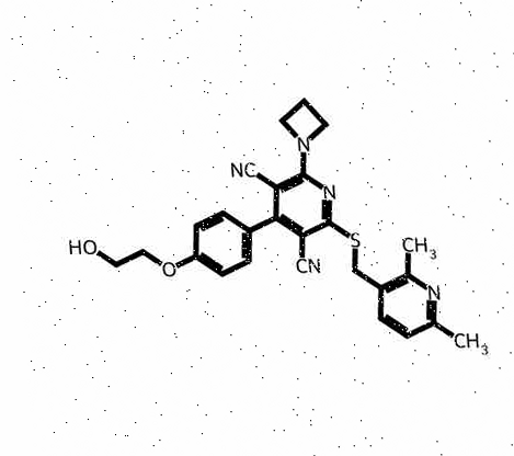 Cc1ccc(CSc2nc(N3CCC3)c(C#N)c(-c3ccc(OCCO)cc3)c2C#N)c(C)n1